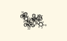 Cc1ccc(F)c(C(=O)N[C@@H](C(=O)N2CCC3(CC2)C(=O)N(C)C(=O)N3c2ccc(S(C)(=O)=O)cc2)C(C)C)c1